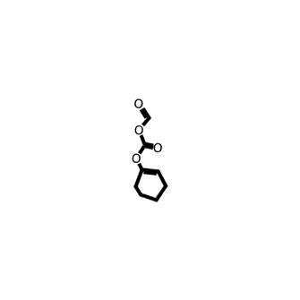 O=COC(=O)OC1=CCCCC1